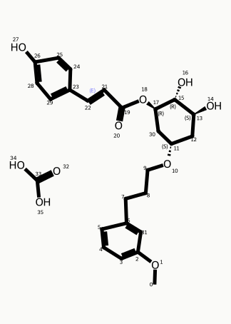 COc1cccc(CCCO[C@H]2C[C@H](O)[C@@H](O)[C@H](OC(=O)/C=C/c3ccc(O)cc3)C2)c1.O=C(O)O